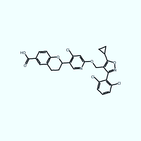 O=C(O)c1ccc2c(c1)CCC(c1cnc(OCc3c(-c4c(Cl)cccc4Cl)noc3C3CC3)cc1Cl)O2